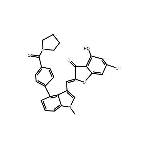 Cn1cc(C=C2Oc3cc(O)cc(O)c3C2=O)c2c(-c3ccc(C(=O)N4CCCC4)cc3)cccc21